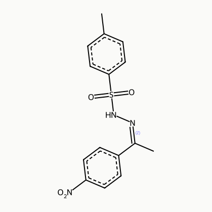 C/C(=N/NS(=O)(=O)c1ccc(C)cc1)c1ccc([N+](=O)[O-])cc1